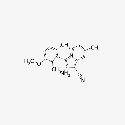 COc1ccc(C)c(-c2c(N)c(C#N)c3cc(C)ccn23)c1C